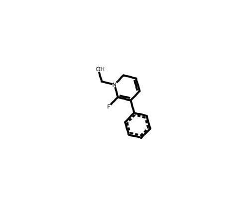 OCN1CC=CC(c2ccccc2)=C1F